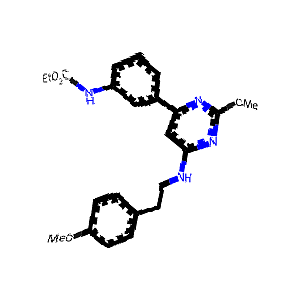 CCOC(=O)Nc1cccc(-c2cc(NCCc3ccc(OC)cc3)nc(OC)n2)c1